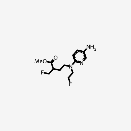 COC(=O)C(CF)CCN(CCF)c1ccc(N)cn1